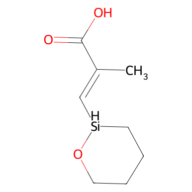 C/C(=C\[SiH]1CCCCO1)C(=O)O